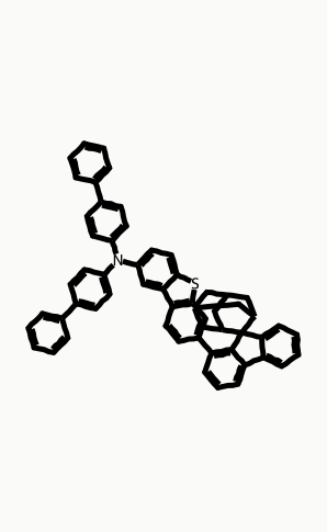 c1ccc(-c2ccc(N(c3ccc(-c4ccccc4)cc3)c3ccc4sc5cc(-c6cccc7c6C6(c8ccccc8-7)C7CC8CC(C7)CC6C8)ccc5c4c3)cc2)cc1